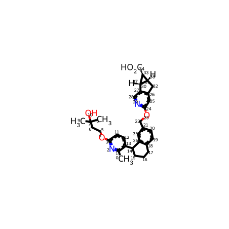 Cc1nc(OCCC(C)(C)O)ccc1C1CCCc2ccc(COc3cc4c(cn3)[C@H]3[C@@H](C4)[C@@H]3C(=O)O)cc21